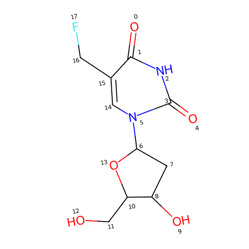 O=c1[nH]c(=O)n(C2CC(O)C(CO)O2)cc1CF